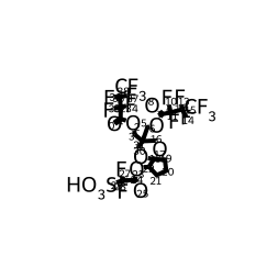 O=C(OCC1(COC(=O)C(F)(F)C(F)(F)C(F)(F)F)COC2(CCCC2OC(=O)C(F)(F)S(=O)(=O)O)OC1)C(F)(F)C(F)(F)C(F)(F)F